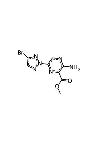 COC(=O)c1nc(-n2ncc(Br)n2)cnc1N